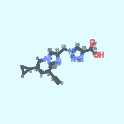 C#Cc1cc(C2CC2)cn2cc(Cn3cc(C(=O)O)nn3)nc12